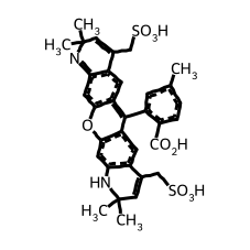 Cc1ccc(C(=O)O)c(C2=c3cc4c(cc3Oc3cc5c(cc32)C(CS(=O)(=O)O)=CC(C)(C)N5)=NC(C)(C)C=C4CS(=O)(=O)O)c1